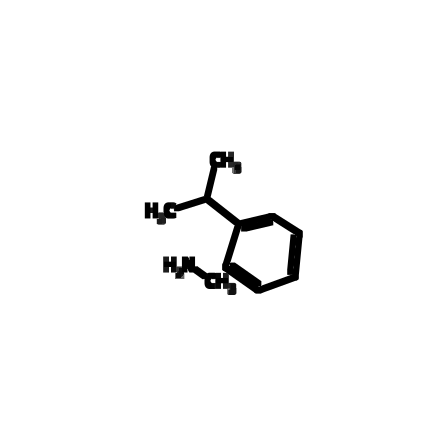 CC(C)c1ccccc1.CN